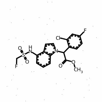 COC(=O)C(c1ccc(F)cc1Cl)n1ccc2c(NS(=O)(=O)CF)cccc21